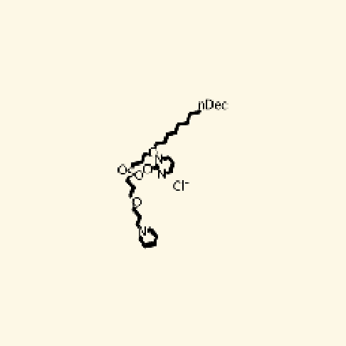 CCCCCCCCCCCCCCCCCCOCC(CS(=O)(=O)CCCOCCC[n+]1ccccc1)Oc1ncccn1.[Cl-]